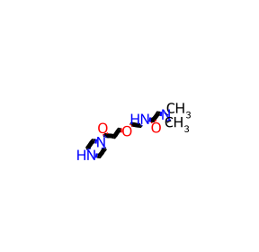 CN(C)CC(=O)NCCOCCC(=O)N1CCNCC1